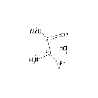 CCC[C@H](N)C(=O)OC.Cl